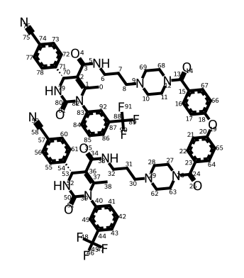 CC1=C(C(=O)NCCCN2CCN(C(=O)c3ccc(Oc4ccc(C(=O)N5CCN(CCCNC(=O)C6=C(C)N(c7cccc(C(F)(F)F)c7)C(=O)N[C@@H]6c6ccc(C#N)cc6)CC5)cc4)cc3)CC2)[C@@H](c2ccc(C#N)cc2)NC(=O)N1c1cccc(C(F)(F)F)c1